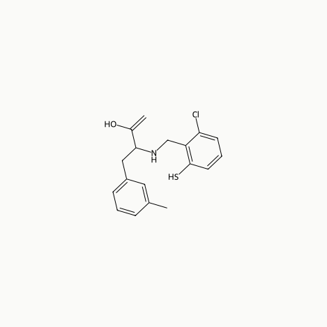 C=C(O)C(Cc1cccc(C)c1)NCc1c(S)cccc1Cl